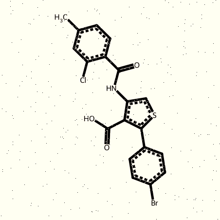 Cc1ccc(C(=O)Nc2csc(-c3ccc(Br)cc3)c2C(=O)O)c(Cl)c1